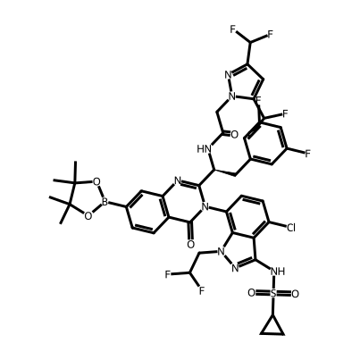 CC1(C)OB(c2ccc3c(=O)n(-c4ccc(Cl)c5c(NS(=O)(=O)C6CC6)nn(CC(F)F)c45)c([C@H](Cc4cc(F)cc(F)c4)NC(=O)Cn4nc(C(F)F)cc4C(F)F)nc3c2)OC1(C)C